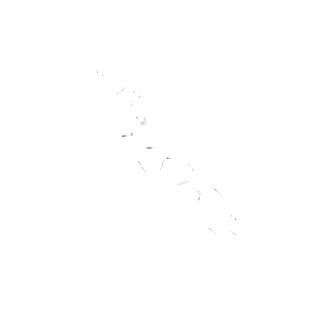 CN1CCc2nc(NC(=O)c3cccc([C@H]4CCCN4C(=O)C4=CC5C=CC(=O)NC5C=C4)c3)sc2C1